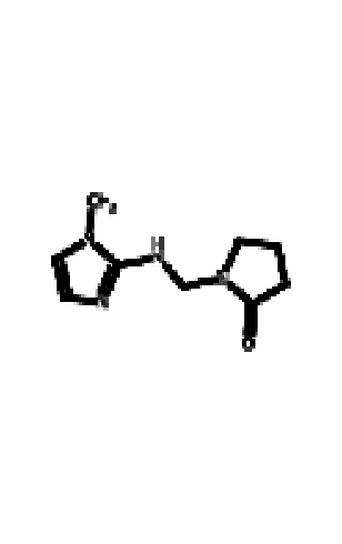 Cn1ccnc1NCN1CCCC1=O